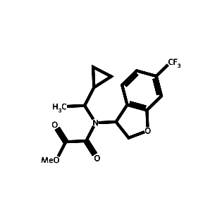 COC(=O)C(=O)N(C1COc2cc(C(F)(F)F)ccc21)C(C)C1CC1